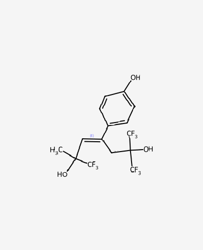 CC(O)(/C=C(\CC(O)(C(F)(F)F)C(F)(F)F)c1ccc(O)cc1)C(F)(F)F